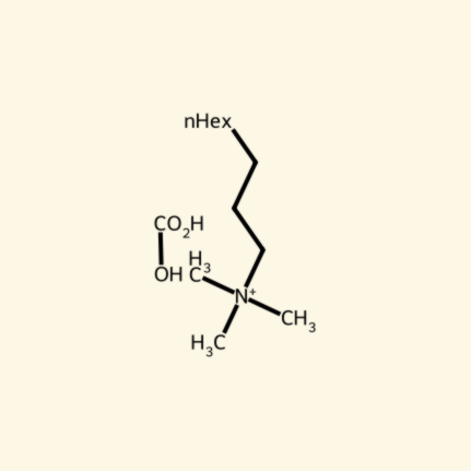 CCCCCCCCC[N+](C)(C)C.O=C(O)O